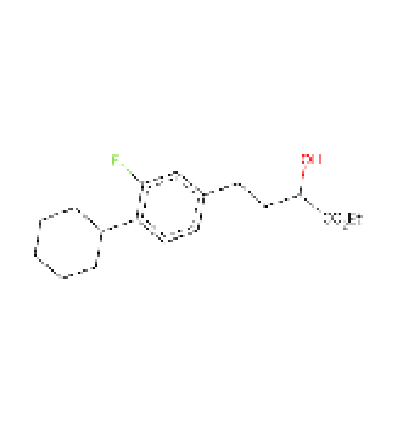 CCOC(=O)C(O)CCc1ccc(C2CCCCC2)c(F)c1